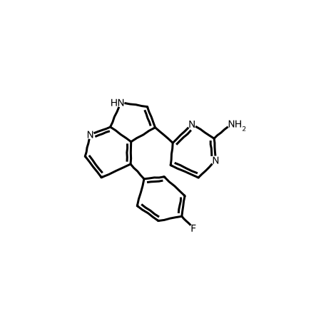 Nc1nccc(-c2c[nH]c3nccc(-c4ccc(F)cc4)c23)n1